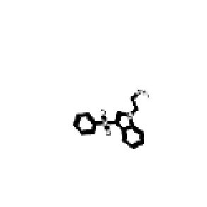 NCCn1cc(S(=O)(=O)c2ccccc2)c2ccccc21